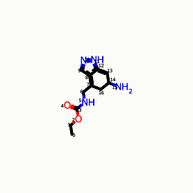 CCOC(=O)NCC1=c2cn[nH]c2=CC(N)C1